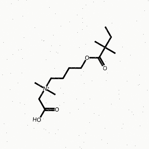 CCC(C)(C)C(=O)OCCCC[N+](C)(C)CC(=O)O